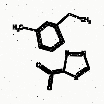 CCc1cccc(C)c1.O=S(=O)=C1N=CN=N1